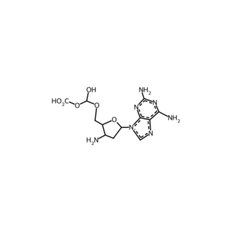 Nc1nc(N)c2ncn(C3CC(N)C(COC(O)OC(=O)O)O3)c2n1